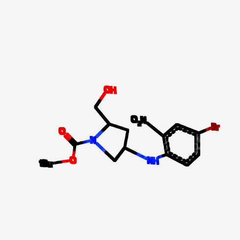 CC(C)(C)OC(=O)N1CC(Nc2ccc(Br)cc2[N+](=O)[O-])CC1CO